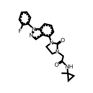 CC1(NC(=O)CN2CCN(c3cccc4c3cnn4-c3ccccc3F)C2=O)CC1